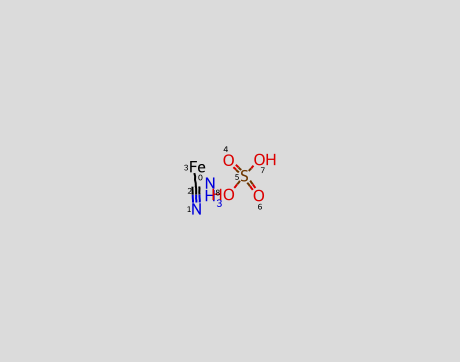 N.N#[C][Fe].O=S(=O)(O)O